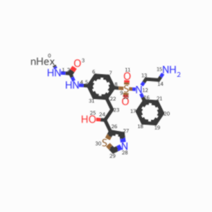 CCCCCCNC(=O)Nc1ccc(S(=O)(=O)N(CCN)c2ccccc2)c(CC(O)c2cncs2)c1